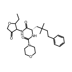 CCC1OCC(=O)C1NC(=O)[C@H](CC(C)(C)CCc1ccccc1)NC(=O)N1CCOCC1